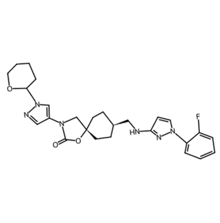 O=C1O[C@]2(CC[C@H](CNc3ccn(-c4ccccc4F)n3)CC2)CN1c1cnn(C2CCCCO2)c1